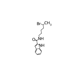 CC(Br)CCCCNC(=O)c1cc2ccccc2[nH]1